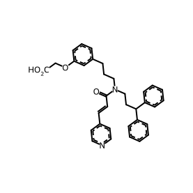 O=C(O)COc1cccc(CCCN(CCC(c2ccccc2)c2ccccc2)C(=O)C=Cc2ccncc2)c1